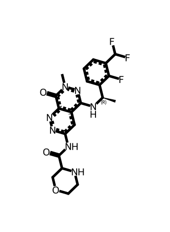 C[C@@H](Nc1nn(C)c(=O)c2nnc(NC(=O)C3COCCN3)cc12)c1cccc(C(F)F)c1F